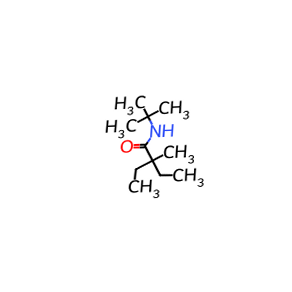 CCC(C)(CC)C(=O)NC(C)(C)C